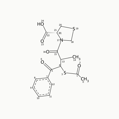 CC(=O)SC(C(=O)c1ccccc1)C(C)C(=O)N1CSC[C@H]1C(=O)O